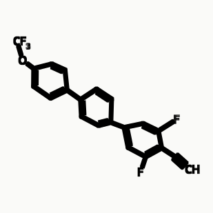 C#Cc1c(F)cc(-c2ccc(-c3ccc(OC(F)(F)F)cc3)cc2)cc1F